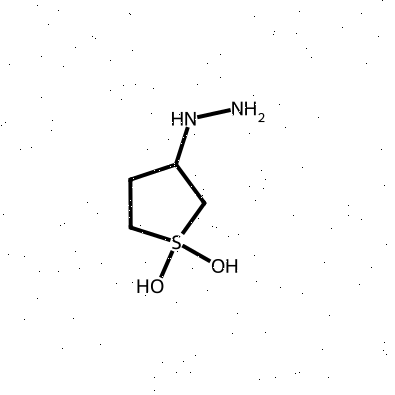 NNC1CCS(O)(O)C1